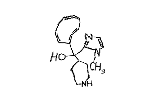 Cn1ccnc1C(O)(c1ccccc1)C1CCNCC1